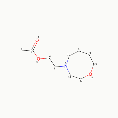 CC(=O)OCCN1CCCCOCC1